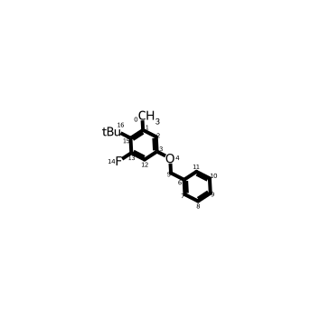 Cc1cc(OCc2ccccc2)cc(F)c1C(C)(C)C